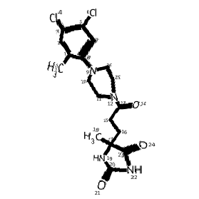 Cc1cc(Cl)c(Cl)cc1N1CCN(C(=O)CCC2(C)NC(=O)NC2=O)CC1